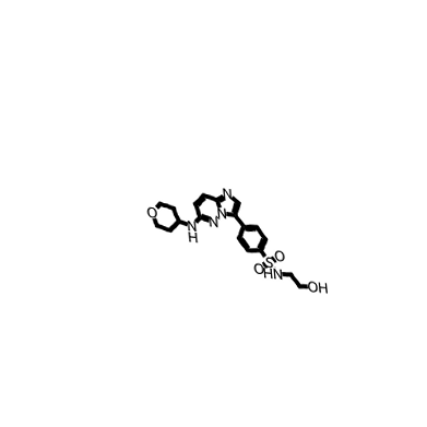 O=S(=O)(NCCO)c1ccc(-c2cnc3ccc(NC4CCOCC4)nn23)cc1